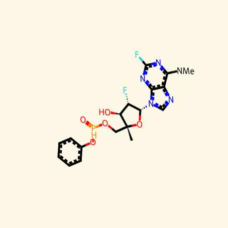 CNc1nc(F)nc2c1ncn2[C@@H]1O[C@](C)(CO[PH](=O)Oc2ccccc2)[C@@H](O)[C@@H]1F